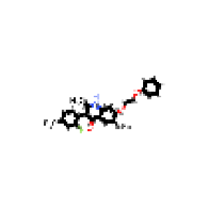 CCCCc1cc2c(=O)c(-c3ccc(C(F)(F)F)cc3F)c(C)[nH]c2cc1OCCOc1ccccc1